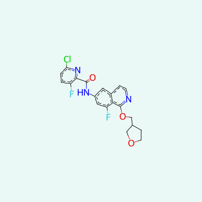 O=C(Nc1cc(F)c2c(OCC3CCOC3)nccc2c1)c1nc(Cl)ccc1F